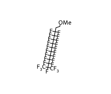 COCCC(F)(F)C(F)(F)C(F)(F)C(F)(F)C(F)(F)C(F)(F)C(F)(F)C(F)(F)C(F)(F)C(F)(C(F)(F)F)C(F)(F)F